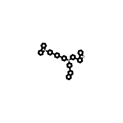 c1cc(-c2cccc3oc4ccccc4c23)cc(N(c2ccc(-c3ccc(-c4ccc(-n5c6ccccc6c6ccccc65)cc4)cc3)cc2)c2ccc(-c3ccc4ccccc4c3)cc2)c1